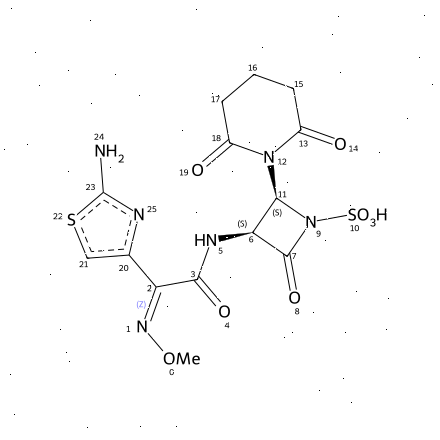 CO/N=C(\C(=O)N[C@@H]1C(=O)N(S(=O)(=O)O)[C@@H]1N1C(=O)CCCC1=O)c1csc(N)n1